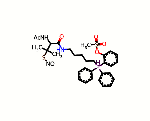 CC(=O)NC(C(=O)NCCCCC[PH](c1ccccc1)(c1ccccc1)c1ccccc1OS(C)(=O)=O)C(C)(C)SN=O